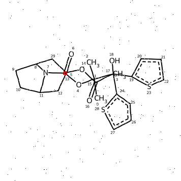 CC(C)(C)OC(=O)N1C2CCC1CC(OC(=O)C(O)(c1cccs1)c1cccs1)C2